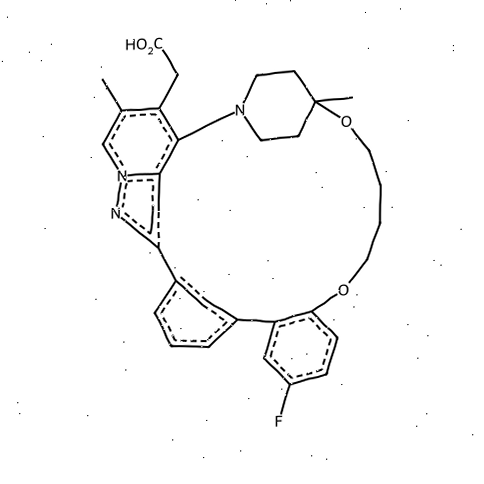 Cc1cn2nc3cc2c(c1CC(=O)O)N1CCC(C)(CC1)OCCCCOc1ccc(F)cc1-c1cccc-3c1